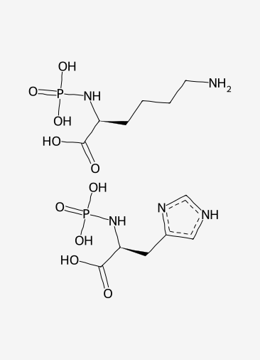 NCCCC[C@H](NP(=O)(O)O)C(=O)O.O=C(O)[C@H](Cc1c[nH]cn1)NP(=O)(O)O